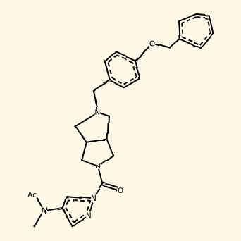 CC(=O)N(C)c1cnn(C(=O)N2CC3CN(Cc4ccc(OCc5ccccc5)cc4)CC3C2)c1